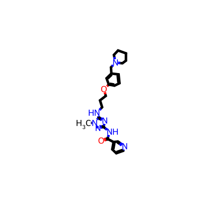 Cn1nc(NC(=O)c2cccnc2)nc1NCCCOc1cccc(CN2CCCCC2)c1